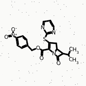 CC(C)C1C(=O)N2C(C(=O)OCc3ccc([N+](=O)[O-])cc3)=C(Sc3ncccn3)CC12